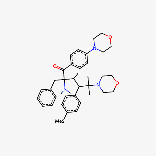 CSc1ccc(C(C(C)C(Cc2ccccc2)(C(=O)c2ccc(N3CCOCC3)cc2)N(C)C)C(C)(C)N2CCOCC2)cc1